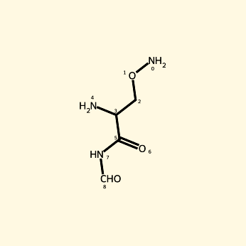 NOCC(N)C(=O)NC=O